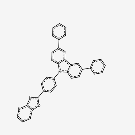 c1ccc(-c2ccc3c(c2)c2cc(-c4ccccc4)ccc2n3-c2ccc(-c3nc4ncccc4o3)cc2)cc1